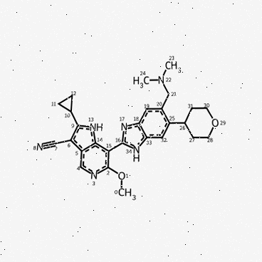 COc1ncc2c(C#N)c(C3CC3)[nH]c2c1-c1nc2cc(CN(C)C)c(C3CCOCC3)cc2[nH]1